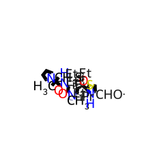 CC[C@H](C)[C@H](NC(=O)C(C)(C)N1CCCC1)C(=O)N(C)[C@H](C[C@@H](O[Si](CC)(CC)CC)C1(CC)NC([C]=O)=CS1)C(C)C